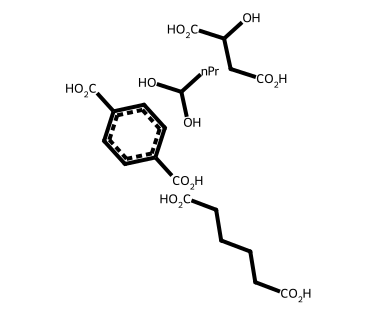 CCCC(O)O.O=C(O)CC(O)C(=O)O.O=C(O)CCCCC(=O)O.O=C(O)c1ccc(C(=O)O)cc1